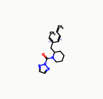 C=C/C=C\C(=C/C)CC1CCCCN1C(=O)n1nccn1